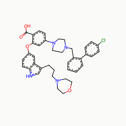 O=C(O)c1ccc(N2CCN(Cc3ccccc3-c3ccc(Cl)cc3)CC2)cc1Oc1ccc2[nH]cc(CCCN3CCOCC3)c2c1